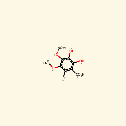 CCCCCCCCOc1c(O)c(O)c(C(=O)O)c(CC)c1OCCCCCCCC